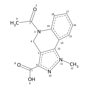 CC(=O)N1Cc2c(C(=O)O)nn(C)c2-c2ccccc21